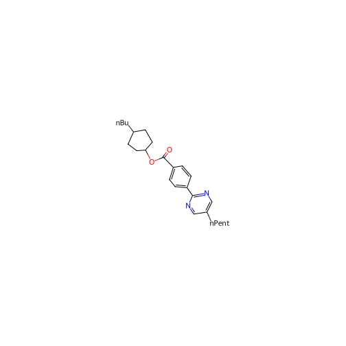 CCCCCc1cnc(-c2ccc(C(=O)OC3CCC(CCCC)CC3)cc2)nc1